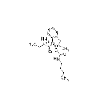 CCCCNC(=O)O[C@@]1(C)Cc2ccccc2N1C(=O)[C@@H](N)CC